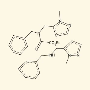 CCOC(=O)C(=O)N(Cc1ccccc1)Cc1ccnn1C.Cn1nccc1CNCc1ccccc1